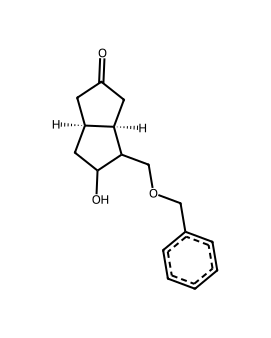 O=C1C[C@@H]2CC(O)C(COCc3ccccc3)[C@@H]2C1